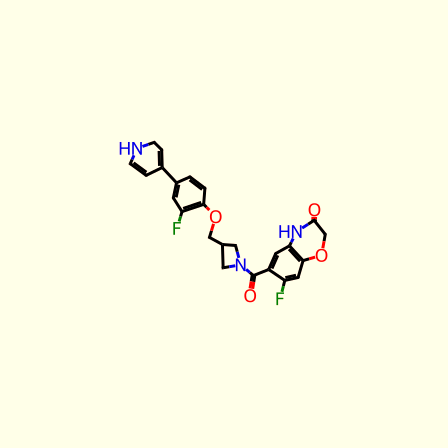 O=C1COc2cc(F)c(C(=O)N3CC(COc4ccc(C5=CCNC=C5)cc4F)C3)cc2N1